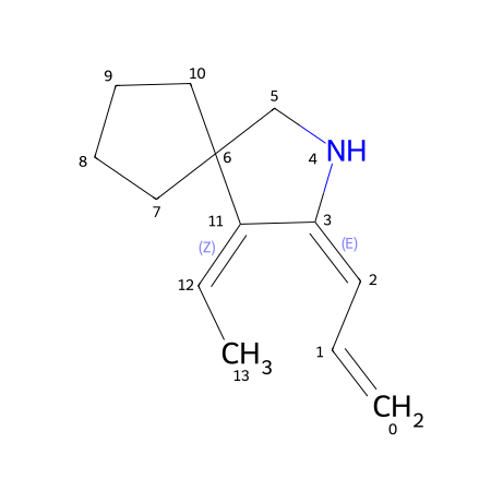 C=C/C=C1/NCC2(CCCC2)/C1=C/C